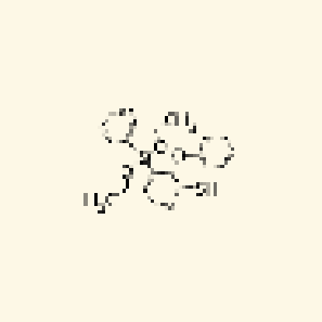 CCO[Si](OCC)(c1ccccc1)c1cccc(S)c1Oc1ccccc1